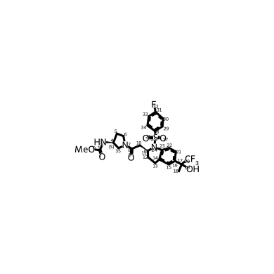 COC(=O)N[C@H]1CCN(C(=O)C[C@@H]2CCc3cc(C(C)(O)C(F)(F)F)ccc3N2S(=O)(=O)c2ccc(F)cc2)C1